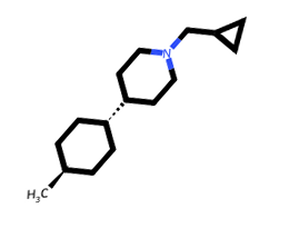 C[C@H]1CC[C@H](C2CCN(CC3CC3)CC2)CC1